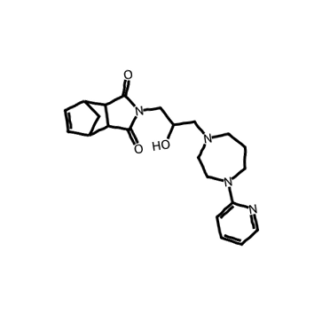 O=C1C2C3C=CC(C3)C2C(=O)N1CC(O)CN1CCCN(c2ccccn2)CC1